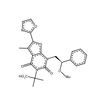 CCC(C)O[C@@H](Cn1c(=O)n(C(C)(C)C(=O)O)c(=O)c2c(C)c(-c3ncco3)sc21)c1ccccc1